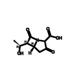 C[C@@H](O)[C@H]1C(=O)N2C(C(=O)O)C(=O)C[C@H]12